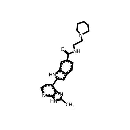 Cc1nc2c(-c3cc4ccc(C(=O)NCCN5CCCCC5)cc4[nH]3)ccnc2[nH]1